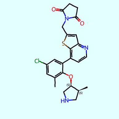 Cc1cc(Cl)cc(-c2ccnc3cc(CN4C(=O)CCC4=O)sc23)c1O[C@@H]1CNC[C@@H]1C